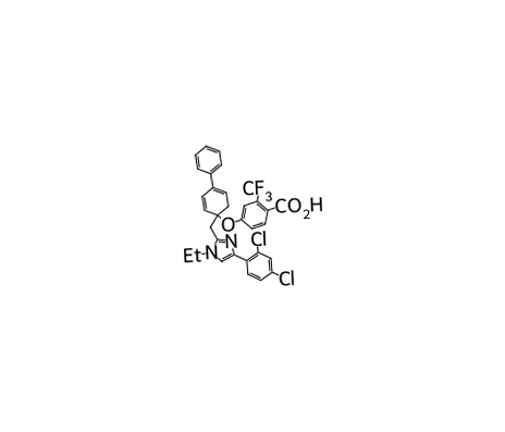 CCn1cc(-c2ccc(Cl)cc2Cl)nc1CC1(Oc2ccc(C(=O)O)c(C(F)(F)F)c2)C=CC(c2ccccc2)=CC1